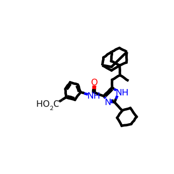 CC(Cc1[nH]c(C2CCCCC2)nc1C(=O)Nc1cccc(C(=O)O)c1)C12CC3CC(CC(C3)C1)C2